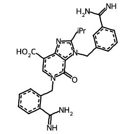 CC(C)c1nc2c(C(=O)O)cn(Cc3ccccc3C(=N)N)c(=O)c2n1Cc1cccc(C(=N)N)c1